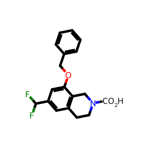 O=C(O)N1CCc2cc(C(F)F)cc(OCc3ccccc3)c2C1